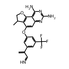 C=C(C=N)c1cc(Oc2cc3nc(N)nc(N)c3c3c2C(C)CO3)cc(C(F)(F)F)c1